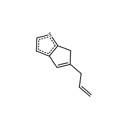 C=CCC1=Cc2ccsc2C1